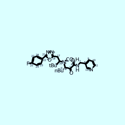 CCCC[C@@H](C(=O)C(=O)NCc1cccnc1)N(C(=O)O)C(Cc1nnc(-c2ccc(F)cc2)o1)C(C)(C)C